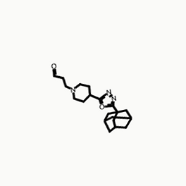 O=CCCN1CCC(c2nnc(C34CC5CC(CC(C5)C3)C4)o2)CC1